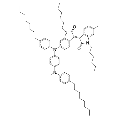 CCCCCCCCc1ccc(N(C)c2ccc(N(c3ccc(CCCCCCCC)cc3)c3ccc4c(c3)N(CCCCCC)C(=O)/C4=C3/C(=O)N(CCCCCC)c4cc(C)ccc43)cc2)cc1